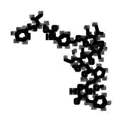 CC[C@H](C)[C@@H]([C@@H](CC(=O)N1CCC[C@H]1[C@H](OC)[C@@H](C)C(=O)N[C@@H](Cc1ccccc1)C(=O)O)OC)N(C)C(=O)[C@@H](NC(=O)[C@H](C(C)C)N(C)C(=O)OCc1ccc(NC(=O)OC[C@H](SSc2ccccn2)C(C)C)cc1)C(C)C